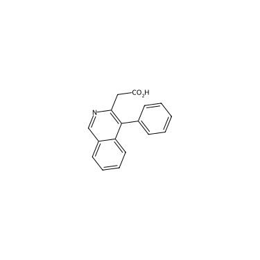 O=C(O)Cc1ncc2ccccc2c1-c1ccccc1